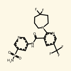 NS(=O)(=O)c1cncc(NC(=O)c2cc(C(F)(F)F)cnc2N2CCCC(F)(F)CC2)c1